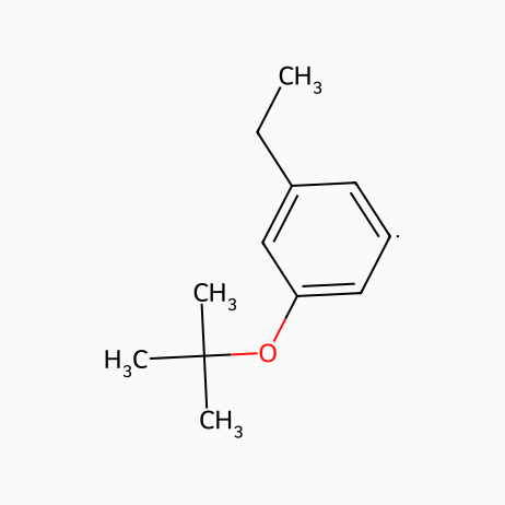 CCc1c[c]cc(OC(C)(C)C)c1